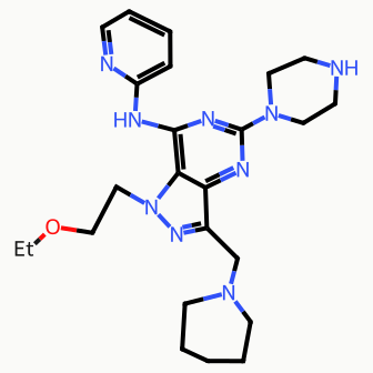 CCOCCn1nc(CN2CCCCC2)c2nc(N3CCNCC3)nc(Nc3ccccn3)c21